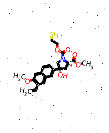 C=Cc1cc2cc([C@]3(O)C[C@@H](C(=O)OC)N(C(=O)OCCS)C3)ccc2cc1OC